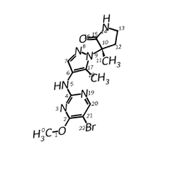 COc1nc(Nc2cnn([C@@]3(C)CCNC3=O)c2C)ncc1Br